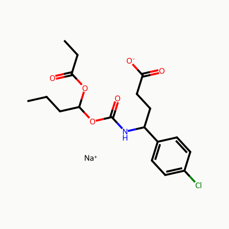 CCCC(OC(=O)CC)OC(=O)NC(CCC(=O)[O-])c1ccc(Cl)cc1.[Na+]